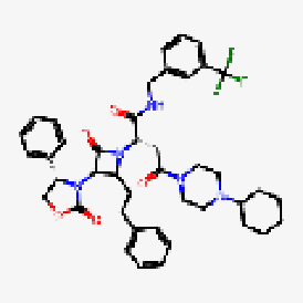 O=C(NCc1cccc(C(F)(F)F)c1)[C@H](CC(=O)N1CCN(C2CCCCC2)CC1)N1C(=O)C(N2C(=O)OC[C@@H]2c2ccccc2)C1CCc1ccccc1